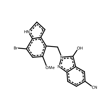 COc1cc(Br)c2[nH]ccc2c1Cn1nc2ccc(C#N)cc2c1O